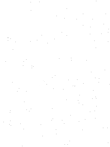 CCCCCCc1ccc(-n2c(C)ccc2-c2ccc(O)cc2)cc1